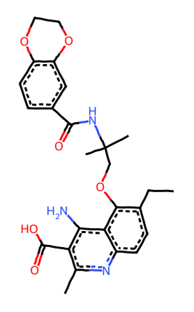 CCc1ccc2nc(C)c(C(=O)O)c(N)c2c1OCC(C)(C)NC(=O)c1ccc2c(c1)OCCO2